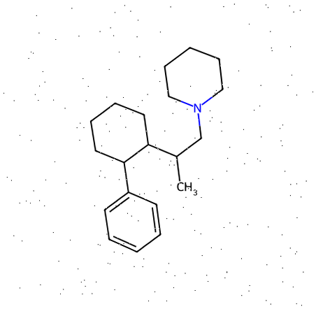 CC(CN1CCCCC1)C1CCCCC1c1ccccc1